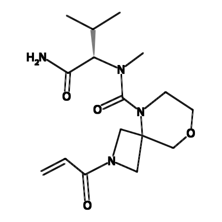 C=CC(=O)N1CC2(COCCN2C(=O)N(C)[C@H](C(N)=O)C(C)C)C1